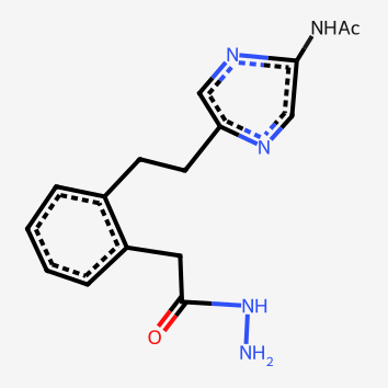 CC(=O)Nc1cnc(CCc2ccccc2CC(=O)NN)cn1